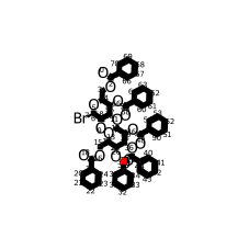 O=C(OCC1O[C@H](Br)C(=O)[C@@H](O[C@@H]2OC(COC(=O)c3ccccc3)[C@@H](OC(=O)c3ccccc3)[C@H](OC(=O)c3ccccc3)C2OC(=O)c2ccccc2)[C@@H]1OC(=O)c1ccccc1)c1ccccc1